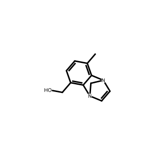 Cc1ccc(CO)c2c1N1C=CN2C1